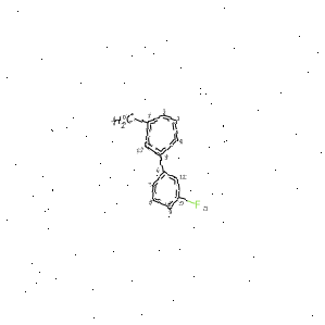 [CH2]c1cccc(-c2cccc(F)c2)c1